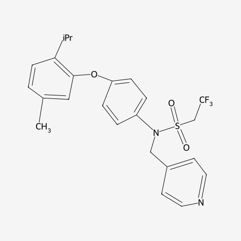 Cc1ccc(C(C)C)c(Oc2ccc(N(Cc3ccncc3)S(=O)(=O)CC(F)(F)F)cc2)c1